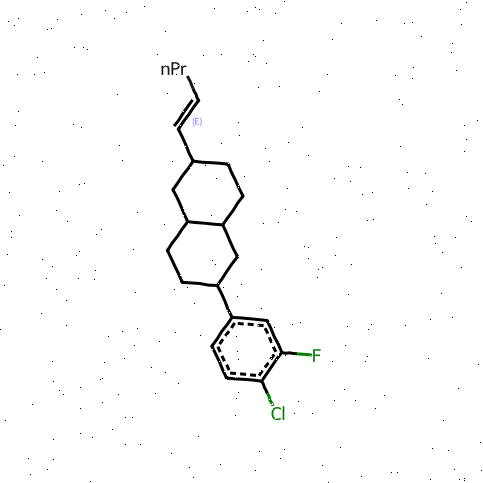 CCC/C=C/C1CCC2CC(c3ccc(Cl)c(F)c3)CCC2C1